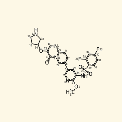 COc1ncc(-c2ccc3ncc(OC4CCNC4)c(=O)n3c2)cc1NS(=O)(=O)c1ccc(F)cc1F